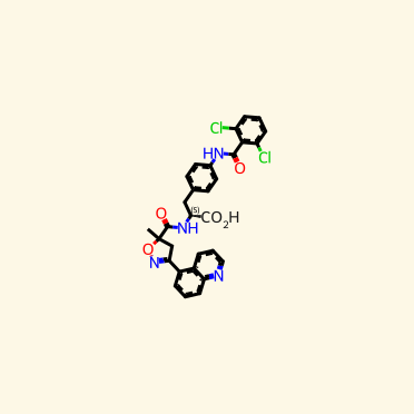 CC1(C(=O)N[C@@H](Cc2ccc(NC(=O)c3c(Cl)cccc3Cl)cc2)C(=O)O)CC(c2cccc3ncccc23)=NO1